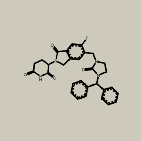 O=C1CCC(N2Cc3cc(CN4CCN(C(c5ccccc5)c5ccccc5)C4=O)c(F)cc3C2=O)C(=O)N1